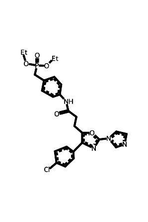 CCOP(=O)(Cc1ccc(NC(=O)CCc2oc(-n3ccnc3)nc2-c2ccc(Cl)cc2)cc1)OCC